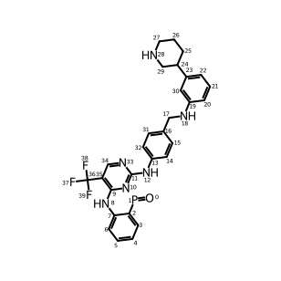 O=Pc1ccccc1Nc1nc(Nc2ccc(CNc3cccc(C4CCCNC4)c3)cc2)ncc1C(F)(F)F